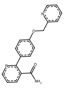 NC(=O)c1cccnc1-c1ccc(OCc2ccccn2)cc1